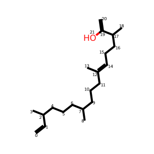 C=CC(C)CCCC(C)CCC/C(C)=C/CCC(C)C(=C)O